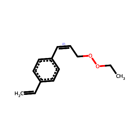 C=Cc1ccc(/C=C\COOCC)cc1